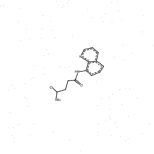 CCCCC(Cl)CCC(=O)Nc1cccc2cccnc12